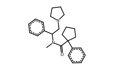 CN(C(=O)C1(c2ccccc2)CCCC1)C(CN1CCCC1)c1ccccc1